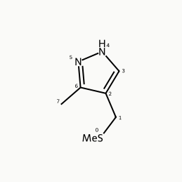 CSCc1c[nH]nc1C